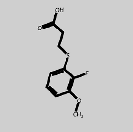 COc1cccc(SCCC(=O)O)c1F